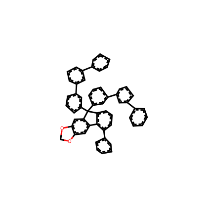 c1ccc(-c2cccc(-c3cccc(C4(c5cccc(-c6cccc(-c7ccccc7)c6)c5)c5cc6c(cc5-c5c(-c7ccccc7)cccc54)OCO6)c3)c2)cc1